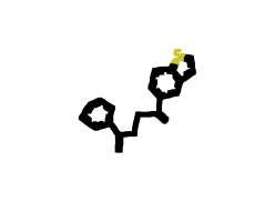 C=C(CCC(=C)c1ccc2sccc2c1)c1ccccc1